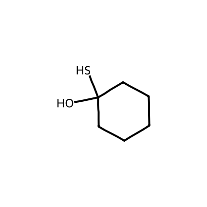 OC1(S)CCCCC1